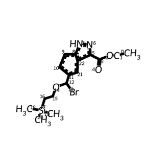 CCOC(=O)c1n[nH]c2ccc(C(Br)OCC[Si](C)(C)C)cc12